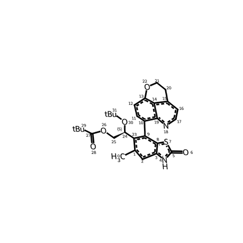 Cc1cc2[nH]c(=O)sc2c(-c2ccc3c4c(ccnc24)CCO3)c1[C@@H](COC(=O)C(C)(C)C)OC(C)(C)C